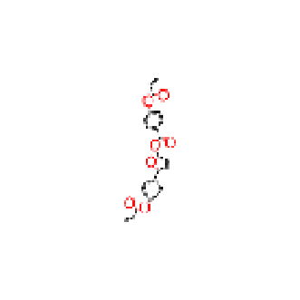 C=CC(=O)Oc1ccc(C(=O)Oc2ccc(-c3ccc(OC(=O)C=C)cc3)o2)cc1